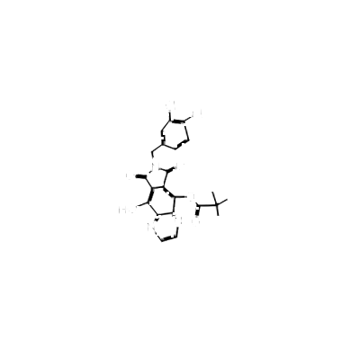 CC(C)(C)C(=O)Oc1c2c(c(O)c3nccnc13)C(=O)N(Cc1ccc(Cl)c(Cl)c1)C2=O